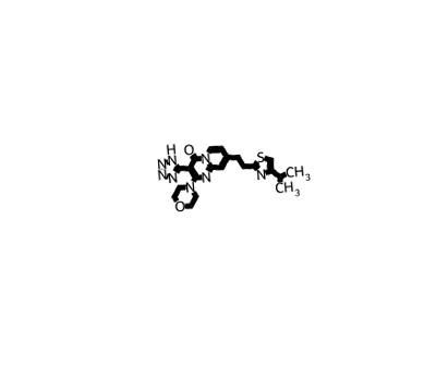 CC(C)c1csc(CCc2ccn3c(=O)c(-c4nnn[nH]4)c(N4CCOCC4)nc3c2)n1